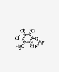 [CH2]c1c(Cl)c(Cl)c(Cl)c(OC(F)F)c1Cl